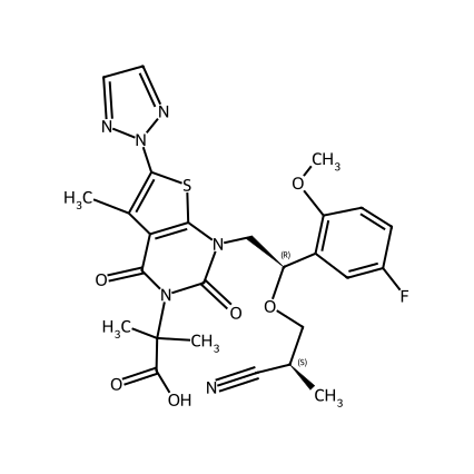 COc1ccc(F)cc1[C@H](Cn1c(=O)n(C(C)(C)C(=O)O)c(=O)c2c(C)c(-n3nccn3)sc21)OC[C@@H](C)C#N